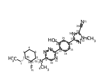 CC[C@@H]1CCC[C@H](N(C)c2cnc(-c3ccc(-c4nc(C#N)n(C)n4)cc3O)nn2)[C@@H]1F